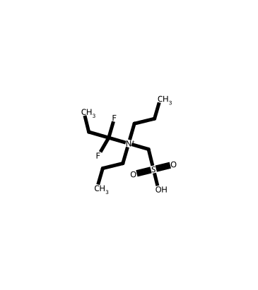 CCC[N+](CCC)(CS(=O)(=O)O)C(F)(F)CC